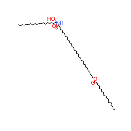 CCCCCCCCCCCCCC=CC=CC(=O)OCCCCCCCCCCCCCCCCCCCCCCCCCCCCCCC(=O)N[C@@H](CO)[C@H](O)CCCCCCCCCCCCCCCCC